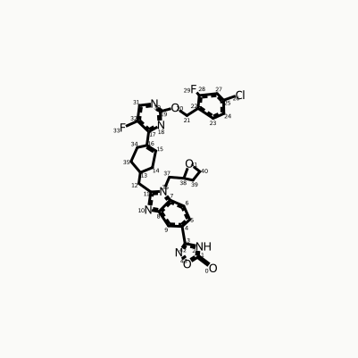 O=c1[nH]c(-c2ccc3c(c2)nc(CC2CC=C(c4nc(OCc5ccc(Cl)cc5F)ncc4F)CC2)n3CC2CCO2)no1